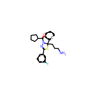 NCCCC1(c2ccccc2)SC(c2cccc(F)c2)=NN1C(=O)C1CCCC1